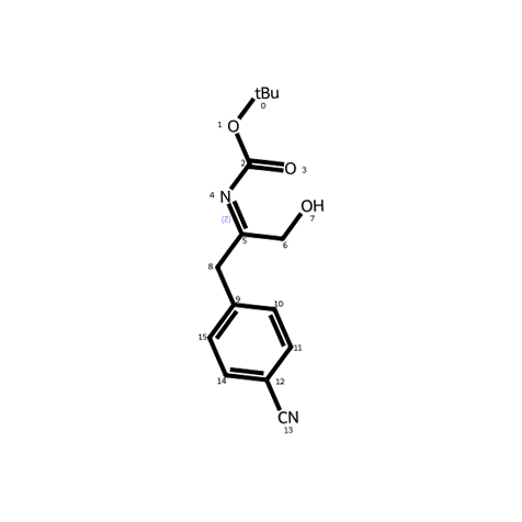 CC(C)(C)OC(=O)/N=C(\CO)Cc1ccc(C#N)cc1